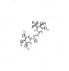 COc1cc(C=CC(=O)c2cc(OC)c(OC)c(OC)c2)cc(C(F)(F)F)c1O